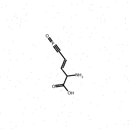 NC(/C=C/C#P=O)C(=O)O